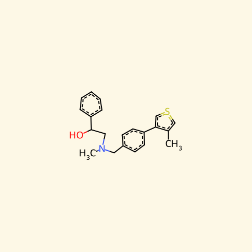 Cc1cscc1-c1ccc(CN(C)CC(O)c2ccccc2)cc1